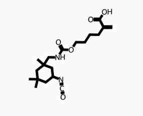 C=C(CCCCOC(=O)NCC1(C)CC(N=C=O)CC(C)(C)C1)C(=O)O